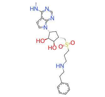 CNc1ncnc2c1ccn2[C@@H]1C[C@H](CS(=O)(=O)CCCNCCc2ccccc2)[C@@H](O)[C@H]1O